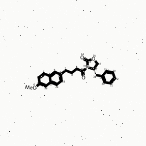 COc1ccc2cc(CCCC(=O)N3C(=O)OC[C@@H]3Cc3ccccc3)ccc2c1